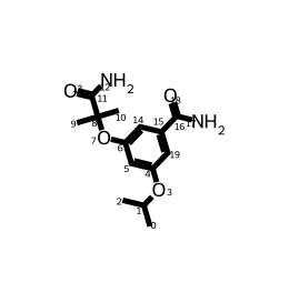 CC(C)Oc1cc(OC(C)(C)C(N)=O)cc(C(N)=O)c1